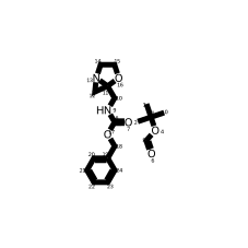 CC(C)(C)OC=O.O=C(NCC12CN1CCO2)OCc1ccccc1